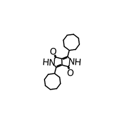 O=C1NC(C2CCCCCCC2)=C2C(=O)NC(C3CCCCCCC3)=C12